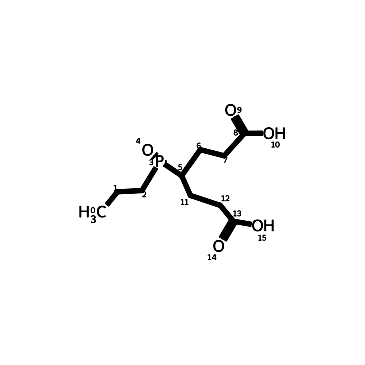 CCC[P](=O)C(CCC(=O)O)CCC(=O)O